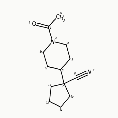 CC(=O)N1CCC(C2(C#N)CCCC2)CC1